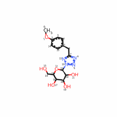 COc1ccc(Cc2nnn(C3OC(CO)C(O)C(O)C3O)n2)cc1